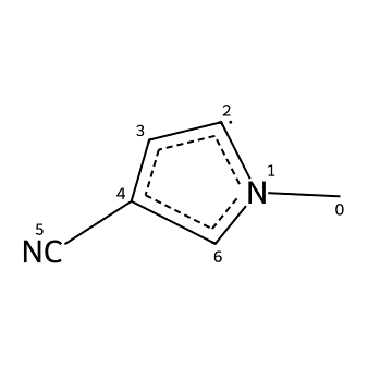 Cn1[c]cc(C#N)c1